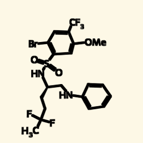 COc1cc(S(=O)(=O)N[C@H](CCC(C)(F)F)CNc2ccccc2)c(Br)cc1C(F)(F)F